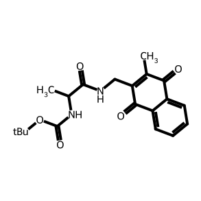 CC1=C(CNC(=O)C(C)NC(=O)OC(C)(C)C)C(=O)c2ccccc2C1=O